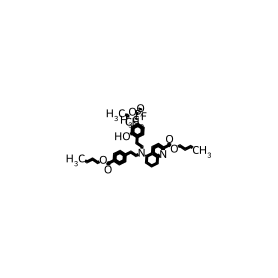 CC(C)OP(C)(=O)F.CCCCOC(=O)c1ccc(CCN(CCc2ccccc2O)[C@H]2CCCc3nc(C(=O)OCCCC)ccc32)cc1